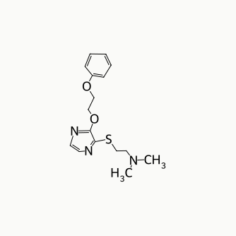 CN(C)CCSc1nccnc1OCCOc1ccccc1